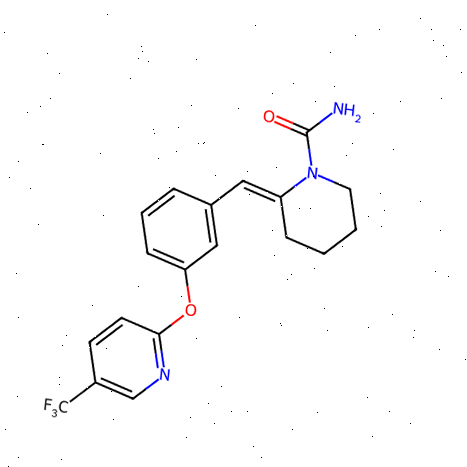 NC(=O)N1CCCC/C1=C\c1cccc(Oc2ccc(C(F)(F)F)cn2)c1